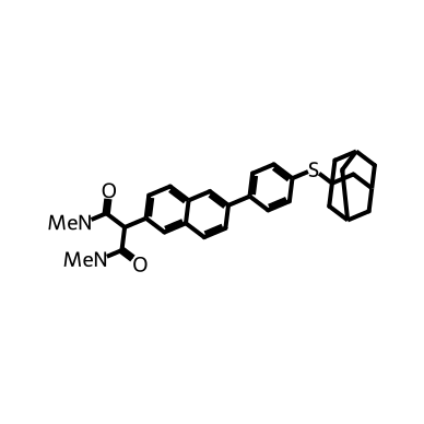 CNC(=O)C(C(=O)NC)c1ccc2cc(-c3ccc(SC45CC6CC(CC(C6)C4)C5)cc3)ccc2c1